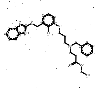 CCOC(=O)CCN(CCCSc1ccnc(CSc2nc3ccccc3[nH]2)c1C)Cc1ccccc1